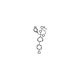 CC1CCOC(Cn2ccnc2)(c2ccc(-c3ccc(Cl)cc3)cc2)O1